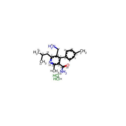 Cc1ccc(-c2c(CN)c(CC(C)C)nc(C)c2C(N)=O)cc1.Cl.Cl